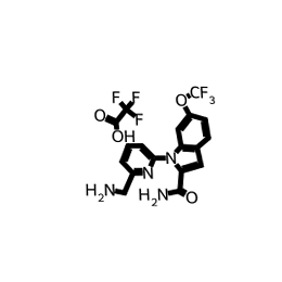 NCc1cccc(-n2c(C(N)=O)cc3ccc(OC(F)(F)F)cc32)n1.O=C(O)C(F)(F)F